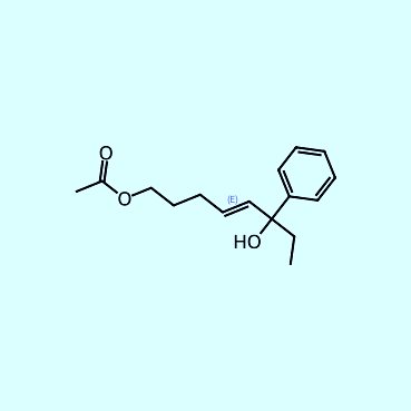 CCC(O)(/C=C/CCCOC(C)=O)c1ccccc1